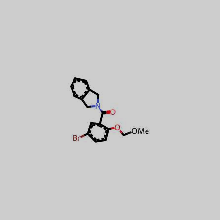 COCOc1ccc(Br)cc1C(=O)N1Cc2ccccc2C1